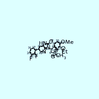 CCOc1nc(C(CS(C)(=O)=O)n2c(=O)[nH]c3cc(-c4cccc(F)c4F)cnc32)ccc1OC